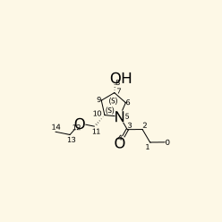 CCCC(=O)N1C[C@@H](O)C[C@H]1COCC